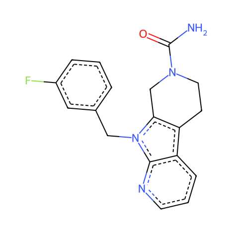 NC(=O)N1CCc2c(n(Cc3cccc(F)c3)c3ncccc23)C1